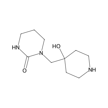 O=C1NCCCN1CC1(O)CCNCC1